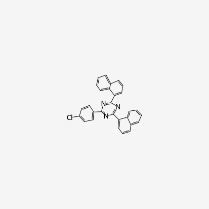 Clc1ccc(-c2nc(-c3cccc4ccccc34)nc(-c3cccc4ccccc34)n2)cc1